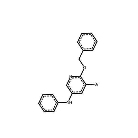 Brc1cc(Nc2ccccc2)cnc1OCc1ccccc1